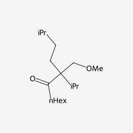 [CH2]C(C)CCC(COC)(C(=O)CCCCCC)C(C)C